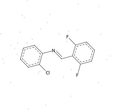 Fc1cccc(F)c1/C=N/c1ccccc1Cl